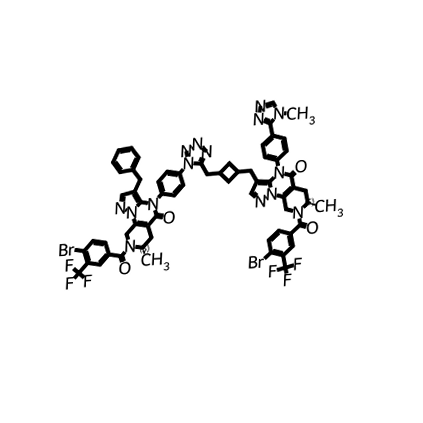 C[C@H]1Cc2c(n3ncc(Cc4ccccc4)c3n(-c3ccc(-n4nnnc4CC4CC(Cc5cnn6c7c(c(=O)n(-c8ccc(-c9nncn9C)cc8)c56)C[C@H](C)N(C(=O)c5ccc(Br)c(C(F)(F)F)c5)C7)C4)cc3)c2=O)CN1C(=O)c1ccc(Br)c(C(F)(F)F)c1